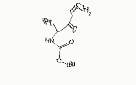 C=CC(=O)C(NC(=O)OC(C)(C)C)C(C)C